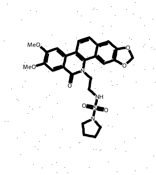 COc1cc2c(=O)n(CCNS(=O)(=O)N3CCCC3)c3c4cc5c(cc4ccc3c2cc1OC)OCO5